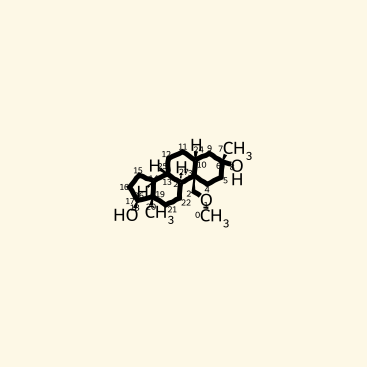 COC[C@]12CC[C@@](C)(O)C[C@H]1CC[C@H]1[C@@H]3CC[C@H](O)[C@@]3(C)CC[C@@H]12